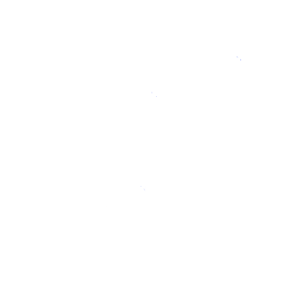 CN1C(=Cc2cc[n+](CCC[N+](C)(C)C)c3ccccc23)Oc2ccccc21.[I-].[I-]